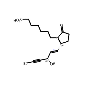 CCC#C[C@@H](O)/C=C/[C@H]1CCC(=O)N1CCCCCCC(=O)O